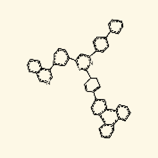 C1=CC(c2nc(-c3ccc(-c4ccccc4)cc3)cc(-c3cccc(-c4cncc5ccccc45)c3)n2)CC=C1c1ccc2c3ccccc3c3ccccc3c2c1